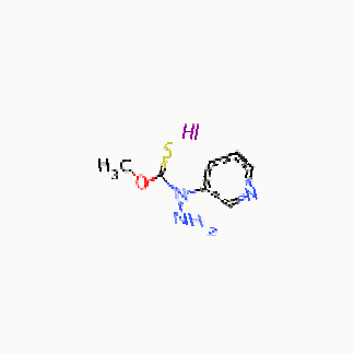 COC(=S)N(N)c1cccnc1.I